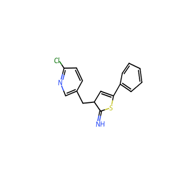 N=C1SC(c2ccccc2)=CC1Cc1ccc(Cl)nc1